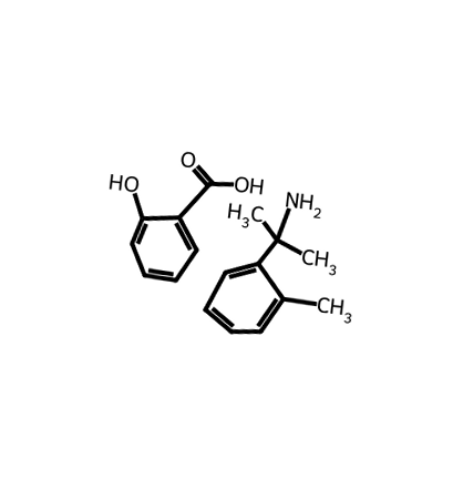 Cc1ccccc1C(C)(C)N.O=C(O)c1ccccc1O